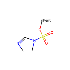 CCCCCOS(=O)(=O)N1C=NCC1